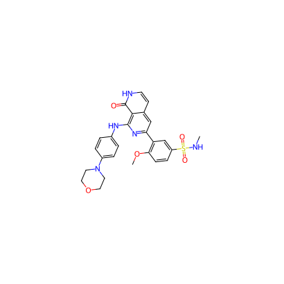 CNS(=O)(=O)c1ccc(OC)c(-c2cc3cc[nH]c(=O)c3c(Nc3ccc(N4CCOCC4)cc3)n2)c1